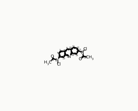 CC(=O)N(Cl)c1ccc2cc3ccc(N(Cl)C(C)=O)cc3nc2c1